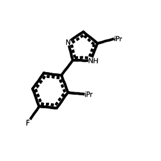 CC(C)c1cnc(-c2ccc(F)cc2C(C)C)[nH]1